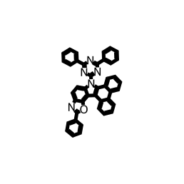 c1ccc(-c2nc(-c3ccccc3)nc(-n3c4ccc5nc(-c6ccccc6)oc5c4c4c5ccccc5c5ccccc5c43)n2)cc1